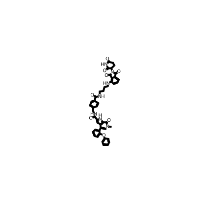 Cn1cc(-c2ccccc2Oc2ccccc2)c2cc(C(=O)NCc3ccc(C(=O)NCCCCNc4cccc5c4C(=O)N(C4CCC(=O)NC4=O)C5=O)cc3)[nH]c2c1=O